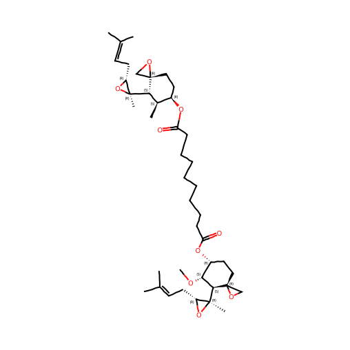 CO[C@@H]1[C@H](OC(=O)CCCCCCCCC(=O)O[C@@H]2CC[C@]3(CO3)[C@@H]([C@@]3(C)O[C@@H]3CC=C(C)C)[C@@H]2C)CC[C@]2(CO2)[C@H]1[C@@]1(C)O[C@@H]1CC=C(C)C